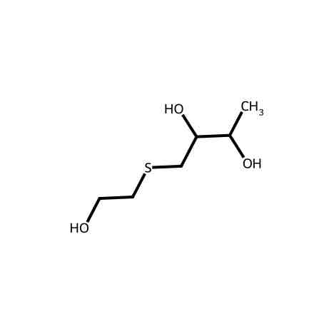 CC(O)C(O)CSCCO